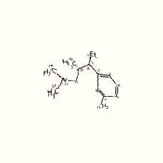 CC[C@@H](c1cccc(C)c1)[C@@H](C)CN(C)C